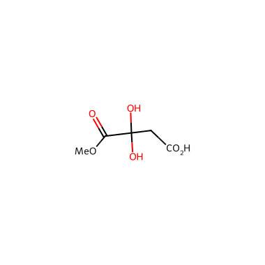 COC(=O)C(O)(O)CC(=O)O